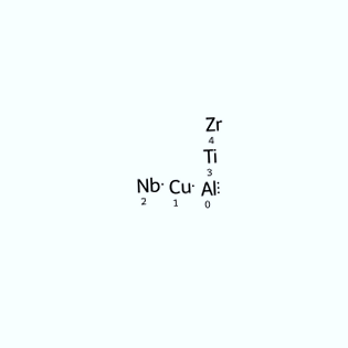 [Al].[Cu].[Nb].[Ti].[Zr]